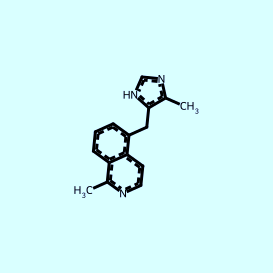 Cc1nc[nH]c1Cc1cccc2c(C)nccc12